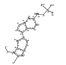 CCn1c(C)nc2ccc(-c3ccn4nc(NCC(F)(F)F)ncc34)nc21